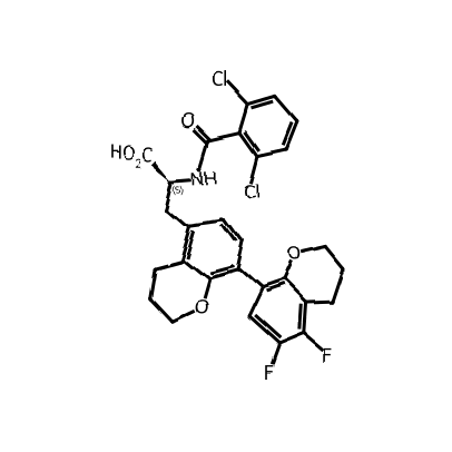 O=C(N[C@@H](Cc1ccc(-c2cc(F)c(F)c3c2OCCC3)c2c1CCCO2)C(=O)O)c1c(Cl)cccc1Cl